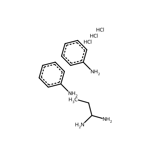 CCC(N)N.Cl.Cl.Cl.Nc1ccccc1.Nc1ccccc1